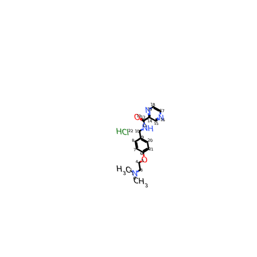 CN(C)CCOc1ccc(CNC(=O)c2cnccn2)cc1.Cl